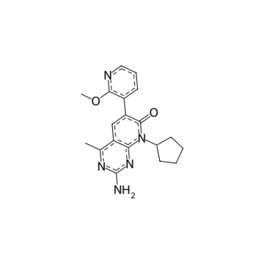 COc1ncccc1-c1cc2c(C)nc(N)nc2n(C2CCCC2)c1=O